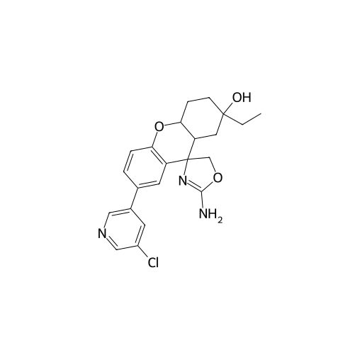 CCC1(O)CCC2Oc3ccc(-c4cncc(Cl)c4)cc3C3(COC(N)=N3)C2C1